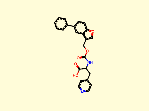 O=C(NC(Cc1ccncc1)C(=O)O)OCc1coc2ccc(-c3ccccc3)cc12